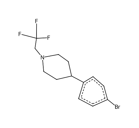 FC(F)(F)CN1CCC(c2ccc(Br)cc2)CC1